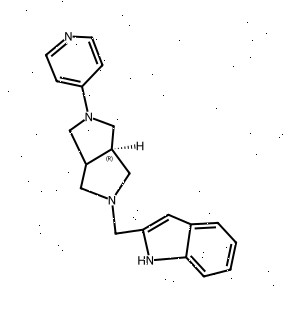 c1ccc2[nH]c(CN3CC4CN(c5ccncc5)C[C@H]4C3)cc2c1